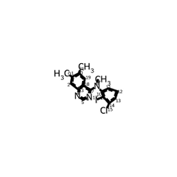 Cc1cc2ncnc(N(C)c3cccc(Cl)c3I)c2cc1C